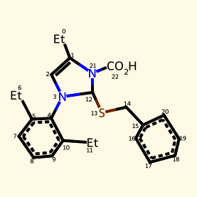 CCC1=CN(c2c(CC)cccc2CC)C(SCc2ccccc2)N1C(=O)O